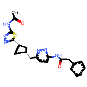 CC(=O)Nc1nnc([C@H]2C[C@@H](Cc3ccc(NC(=O)Cc4ccccc4)nn3)C2)s1